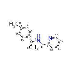 Cc1ccc(C(C)NCc2ccccn2)cc1